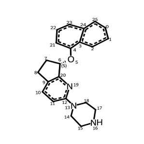 c1ccc2c(O[C@H]3CCc4ccc(N5CCNCC5)nc43)cccc2c1